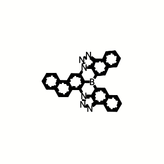 c1ccc2c(c1)ccc1c3c4c(cc12)-n1nnc2c5ccccc5cc(c21)B4c1cc2ccccc2c2nnn-3c12